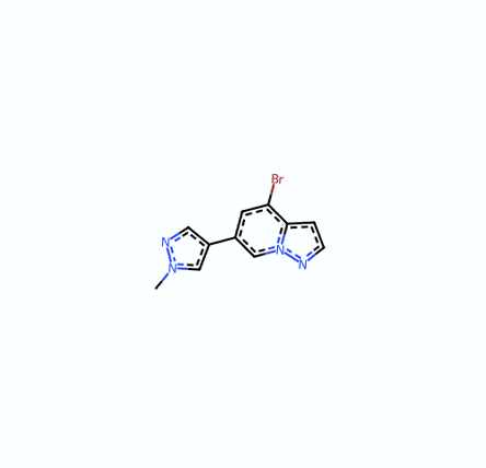 Cn1cc(-c2cc(Br)c3ccnn3c2)cn1